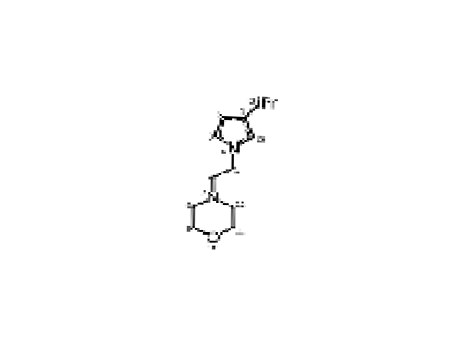 CC(C)c1ccn(CCN2CCOCC2)c1